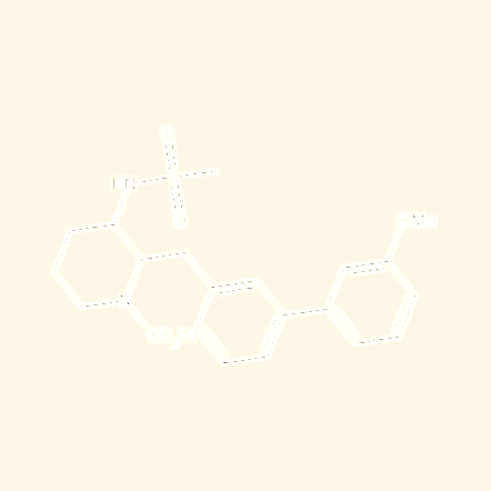 CCOC(=O)N1CCCC(NS(C)(=O)=O)C1Cc1cccc(-c2cccc(OC)c2)c1